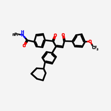 CCCNC(=O)c1ccc(C(=O)/C(=C\C(=O)c2ccc(OC(F)(F)F)cc2)c2ccc(C3CCCCC3)cc2)cc1